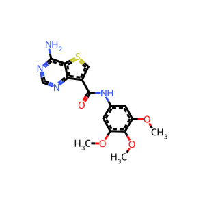 COc1cc(NC(=O)c2csc3c(N)ncnc23)cc(OC)c1OC